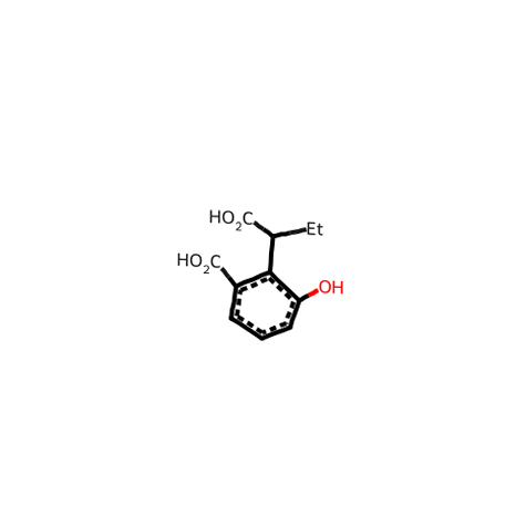 CCC(C(=O)O)c1c(O)cccc1C(=O)O